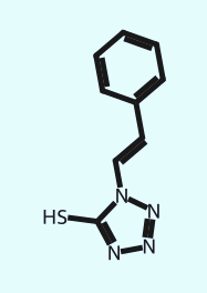 Sc1nnnn1C=Cc1ccccc1